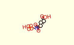 CC1C2C3CC4C5(C)CCCC(C)(C(=O)O)C5CCC4(C4C(=O)N(CCOS(=O)(=O)O)C(=O)C34)C12